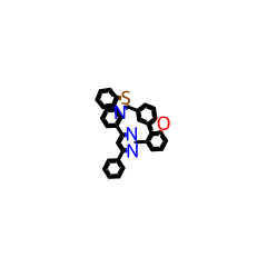 c1ccc(-c2cc(-c3ccccc3)nc(-c3cccc4oc5ccc(-c6nc7ccccc7s6)cc5c34)n2)cc1